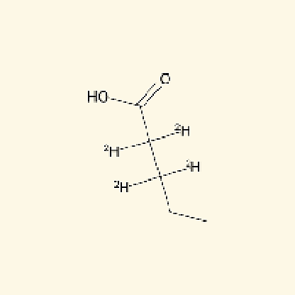 [2H]C([2H])(CC)C([2H])([2H])C(=O)O